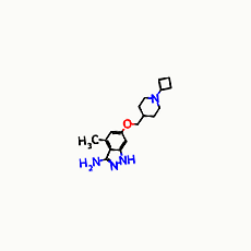 Cc1cc(OCC2CCN(C3CCC3)CC2)cc2[nH]nc(N)c12